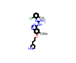 COc1cc2c(NC(N)=Nc3c(C)cccc3Cl)ncnc2cc1OCCCC1CCNC1